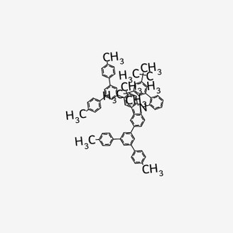 Cc1ccc(-c2cc(-c3ccc(C)cc3)cc(-c3ccc4c(c3)c3cc(-c5cc(-c6ccc(C)cc6)cc(-c6ccc(C)cc6)c5)ccc3n4-c3ccccc3-c3cc(C(C)(C)C)cc(C(C)(C)C)c3)c2)cc1